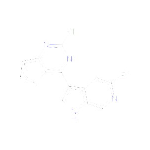 Clc1nc(-c2c[nH]c3cnc(Br)cc23)c2sccc2n1